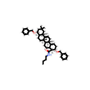 CCCCNC(=O)[C@@]1(C)C2CC[C@]3(C)[C@H](CC=C4[C@H]5CC(C)(C)C[C@@H](OCc6ccccc6)[C@]5(C)CC[C@]43C)[C@@]2(C)CC[C@@H]1OCc1ccccc1